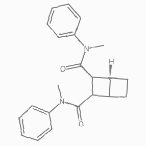 CN(C(=O)C1C2CC[C@H]2C1C(=O)N(C)c1ccccc1)c1ccccc1